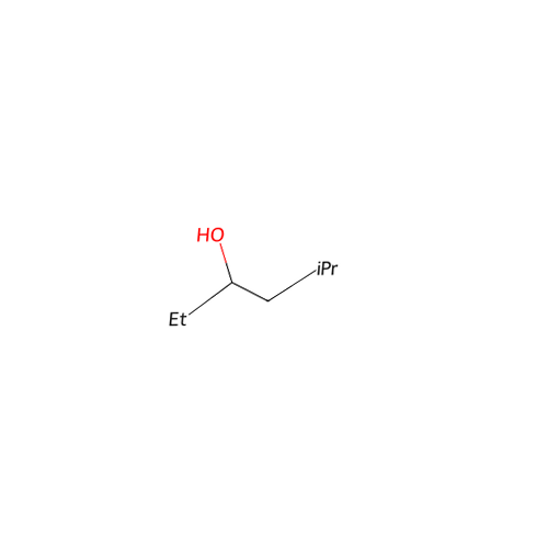 [CH2]C(C)CC(O)CC